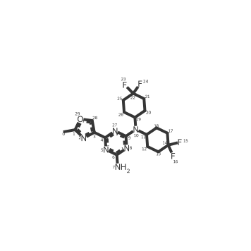 Cc1nc(-c2nc(N)nc(N(C3CCC(F)(F)CC3)C3CCC(F)(F)CC3)n2)co1